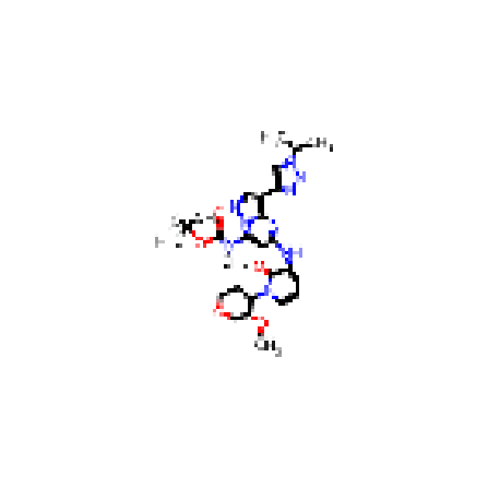 CO[C@H]1COCCC1n1cccc(Nc2cc(N(C)C(=O)OC(C)(C)C)n3ncc(-c4cn(C(C)C)nn4)c3n2)c1=O